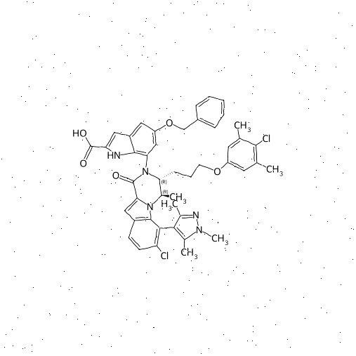 Cc1cc(OCCC[C@@H]2[C@@H](C)n3c(cc4ccc(Cl)c(-c5c(C)nn(C)c5C)c43)C(=O)N2c2cc(OCc3ccccc3)cc3cc(C(=O)O)[nH]c23)cc(C)c1Cl